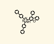 c1ccc(-c2ccc(C3=NC(c4ccc(-c5ccccc5)cc4)NC(c4cc(-c5ccccc5)c5c(c4)oc4ccccc45)=N3)cc2)cc1